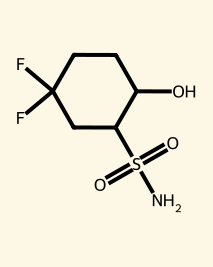 NS(=O)(=O)C1CC(F)(F)CCC1O